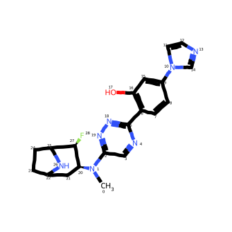 CN(c1cnc(-c2ccc(-n3ccnc3)cc2O)nn1)[C@H]1CC2CCC(N2)[C@H]1F